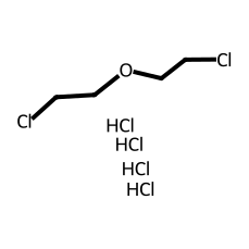 Cl.Cl.Cl.Cl.ClCCOCCCl